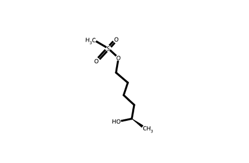 C[C@@H](O)CCCCOS(C)(=O)=O